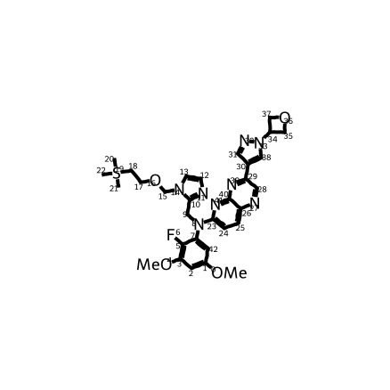 COc1cc(OC)c(F)c(N(Cc2nccn2COCCS(C)(C)C)c2ccc3ncc(-c4cnn(C5COC5)c4)nc3n2)c1